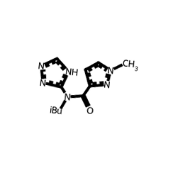 CCC(C)N(C(=O)c1ccn(C)n1)c1nnc[nH]1